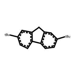 CC(C)(C)c1ccc2c(c1)[CH]c1cc(C(C)(C)C)ccc1-2